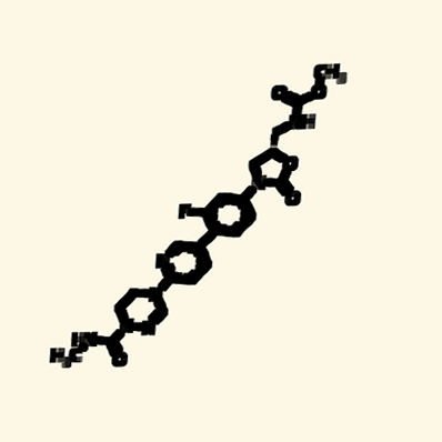 CNC(=O)N1CCN(c2ccc(-c3ccc(N4C[C@H](CNC(=O)OC)OC4=O)cc3F)cn2)C=N1